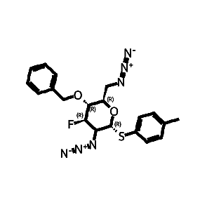 Cc1ccc(S[C@H]2O[C@H](CN=[N+]=[N-])[C@@H](OCc3ccccc3)[C@H](F)C2N=[N+]=[N-])cc1